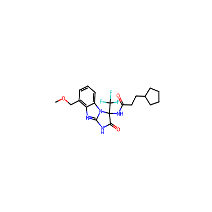 COCc1cccc2c1nc1n2C(NC(=O)CCC2CCCC2)(C(F)(F)F)C(=O)N1